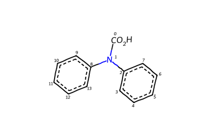 O=C(O)N(c1cc[c]cc1)c1ccccc1